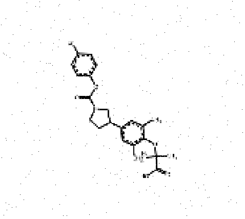 Cc1cc(C2CCN(C(=O)Oc3ccc(Br)cc3)C2)cc(C)c1OC(C)(C)C(=O)O